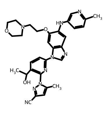 Cc1ccc(Nc2cc3ncn(-c4ccc(C(C)O)c(-n5nc(C#N)cc5C)n4)c3cc2OCCN2CCOCC2)cn1